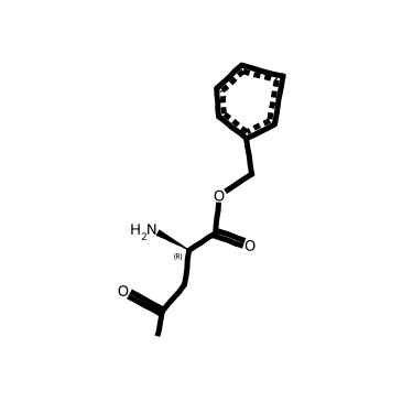 CC(=O)C[C@@H](N)C(=O)OCc1ccccc1